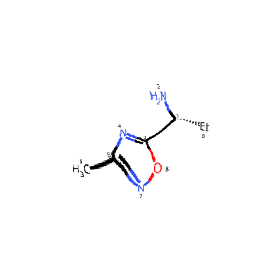 CC[C@@H](N)c1nc(C)no1